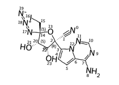 N#C[C@@]1(c2ccc3c(N)ncnn23)O[C@@](CI)(N=[N+]=[N-])[C@@H](O)[C@H]1O